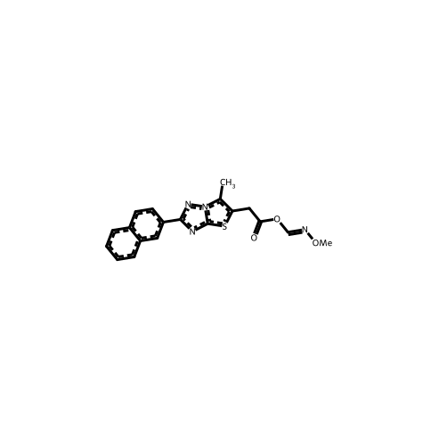 CO/N=C/OC(=O)Cc1sc2nc(-c3ccc4ccccc4c3)nn2c1C